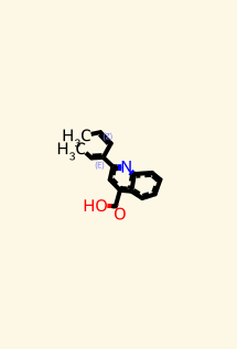 C/C=C\C(=C/C)c1cc(C(=O)O)c2ccccc2n1